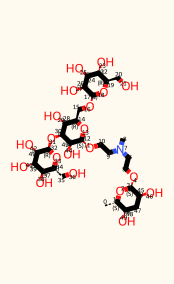 C[C@@H]1O[C@H](OCCN(C)CCO[C@H]2O[C@H](CO[C@H]3O[C@H](CO)[C@@H](O)[C@H](O)[C@@H]3O)[C@@H](O)[C@H](O[C@H]3O[C@H](CO)[C@@H](O)[C@H](O)[C@@H]3O)[C@@H]2O)[C@@H](O)C[C@@H]1O